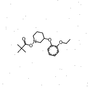 CCOc1ccccc1OC1CCCN(OC(=O)C(C)(C)C)C1